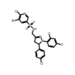 O=S(=O)(NCC1=NN(c2ccc(Cl)cc2Cl)C(c2ccc(Cl)cc2)C1)c1cnc(Cl)c(Br)c1